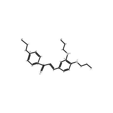 CCCOc1ccc(C=CC(=S)c2ccc(CCC)cc2)cc1OCCC